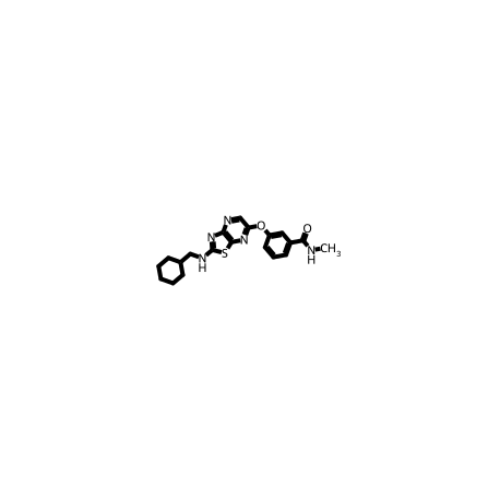 CNC(=O)c1cccc(Oc2cnc3nc(NCC4CCCCC4)sc3n2)c1